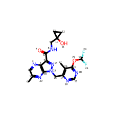 Cc1cnc2c(C(=O)NCC3(O)CC3)nn(Cc3ncnc(OC(F)F)c3C)c2n1